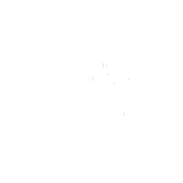 CCc1ccc(-c2ccc(Cl)cc2)cc1C1=C(O)[C@H]2C=C[C@H](CC2)C1=O